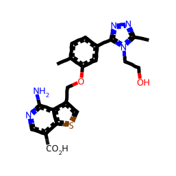 Cc1ccc(-c2nnc(C)n2CCO)cc1OCc1csc2c(C(=O)O)cnc(N)c12